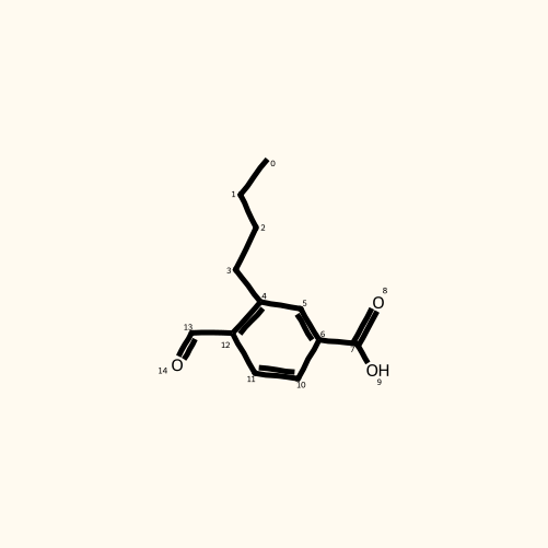 CCCCc1cc(C(=O)O)ccc1C=O